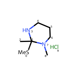 CSC1(C)NCCCN1C.Cl